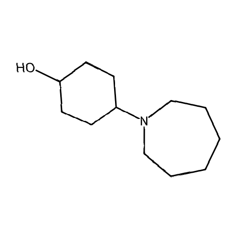 OC1CCC(N2CCCCCC2)CC1